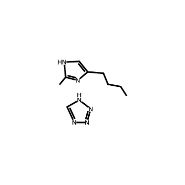 CCCCc1c[nH]c(C)n1.c1nnn[nH]1